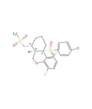 O=S(=O)(C[C@@H]1CCC[C@@]2(S(=O)(=O)c3ccc(Cl)cc3)c3c(F)ccc(F)c3OC[C@@H]12)C(F)(F)F